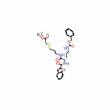 COC(=O)CSCCCNC(=O)[C@H](CCCNC(=O)OCc1ccccc1)NC(=O)c1cc2ccccc2o1